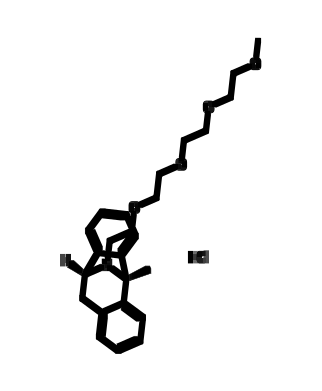 COCCOCCOCCOCCN1[C@@H]2Cc3ccccc3[C@@]1(C)c1ccccc12.Cl